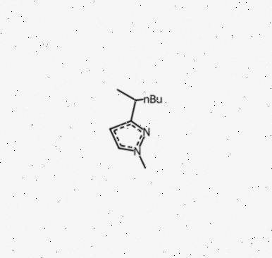 CCCCC(C)c1ccn(C)n1